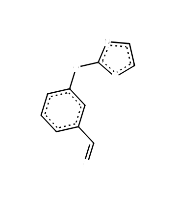 O=Cc1cccc(Oc2nccs2)c1